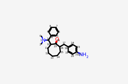 CN(C)C(c1ccccc1)C1CCCCCC(Cc2ccc(N)cc2)C1=O